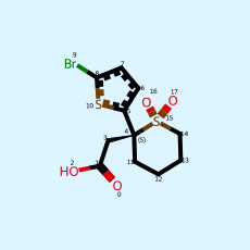 O=C(O)C[C@]1(c2ccc(Br)s2)CCCCS1(=O)=O